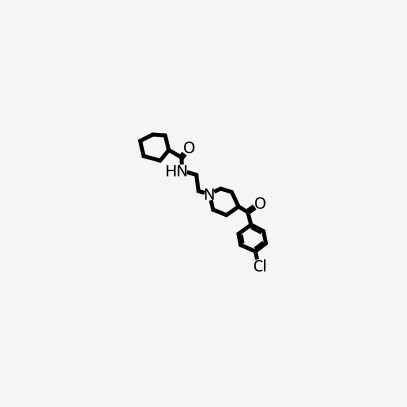 O=C(NCCN1CCC(C(=O)c2ccc(Cl)cc2)CC1)C1CCCCC1